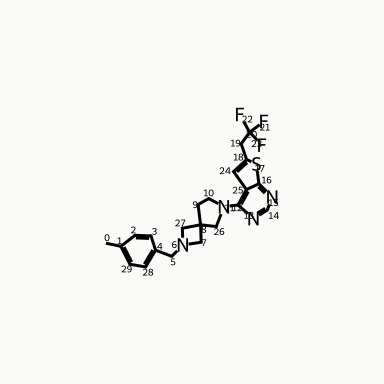 Cc1ccc(CN2CC3(CCN(c4ncnc5sc(CC(F)(F)F)cc45)C3)C2)cc1